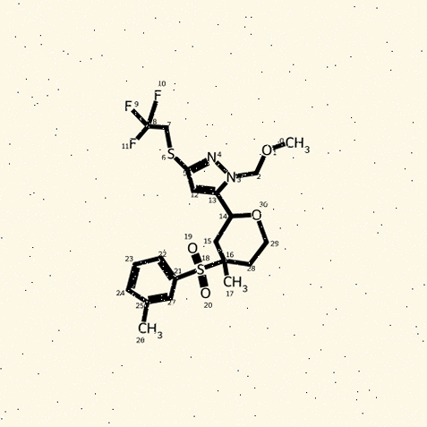 COCn1nc(SCC(F)(F)F)cc1C1CC(C)(S(=O)(=O)c2cccc(C)c2)CCO1